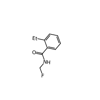 CCc1ccccc1C(=O)NCF